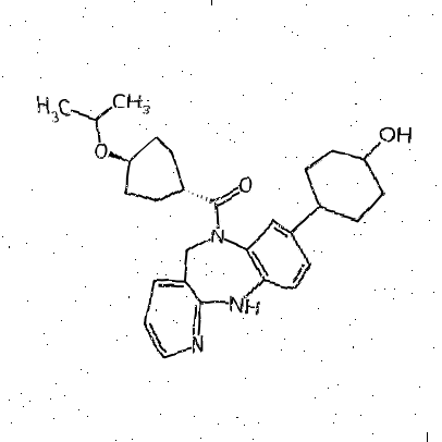 CC(C)O[C@H]1CC[C@H](C(=O)N2Cc3cccnc3Nc3ccc(C4CCC(O)CC4)cc32)CC1